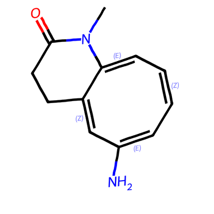 CN1C(=O)CCC2=C/C(N)=C\C=C/C=C\21